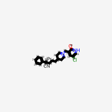 CC(C)C(C#N)(CCCC1CCN(Cc2cc(Cl)c[nH]c2=O)CC1)c1ccccc1